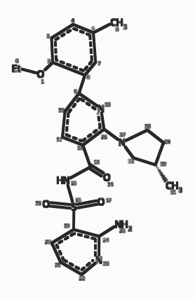 CCOc1ccc(C)cc1-c1ccc(C(=O)NS(=O)(=O)c2cccnc2N)c(N2CC[C@H](C)C2)n1